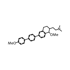 COc1ccc(-c2ccc(-c3ccc4c(c3)CCC(CCN(C)C)C4OC)cc2)cc1